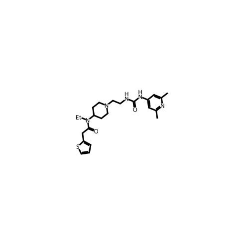 CCN(C(=O)Cc1cccs1)C1CCN(CCNC(=O)Nc2cc(C)nc(C)c2)CC1